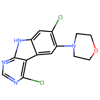 Clc1cc2[nH]c3ncnc(Cl)c3c2cc1N1CCOCC1